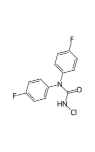 O=C(NCl)N(c1ccc(F)cc1)c1ccc(F)cc1